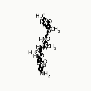 C=C1C[C@H]2C=Nc3cc(OCCCC(=O)Nc4cn(C)c(C(=O)Nc5cc(C(=O)Nc6cc(C(=O)N7Cc8ccc(N)cc8C7)n(C)c6)n(C)c5)n4)c(C)cc3C(=O)N2C1